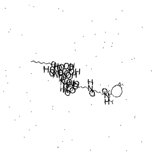 CCCCCCCCCO[C@@H]1C(C)O[C@@H](OC2C(O)[C@H](O)C(C(=O)O)O[C@H]2OC2C(NC(C)=O)[C@H](OC3C(NC(C)=O)[C@H](OCCCCCNC(=O)CCCCC(=O)NC(CC)(C/C=C\C(C)C)C4CCCCCCC[C@@]5(C)CC5CCC4)OC4O[C@@H]43)OC(C)[C@H]2O)C(NC(C)=O)C1O